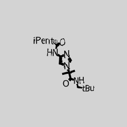 CCC[C@H](C)C(=O)Nc1cn(C(C)(C)C(=O)NCC(C)(C)C)cn1